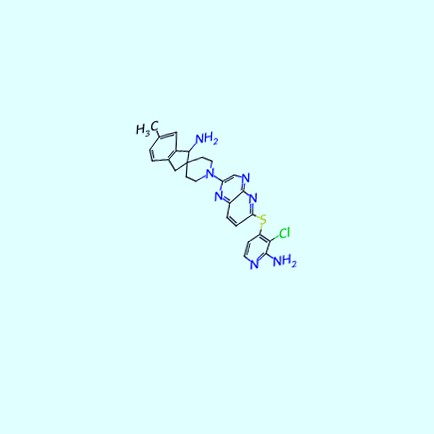 Cc1ccc2c(c1)C(N)C1(CCN(c3cnc4nc(Sc5ccnc(N)c5Cl)ccc4n3)CC1)C2